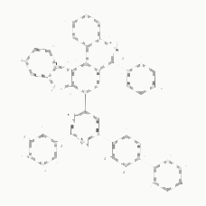 c1ccc(-c2ccc(-c3cc(-c4cc5c(-c6ccccc6)nc6ccccc6c5c5c4oc4ccccc45)nc(-c4ccccc4)n3)cc2)cc1